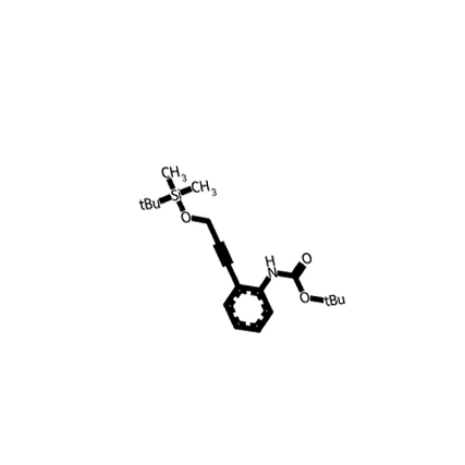 CC(C)(C)OC(=O)Nc1ccccc1C#CCO[Si](C)(C)C(C)(C)C